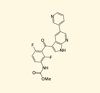 COC(=O)Nc1ccc(F)c(C(=O)c2c[nH]c3ncc(-c4cccnc4)cc23)c1F